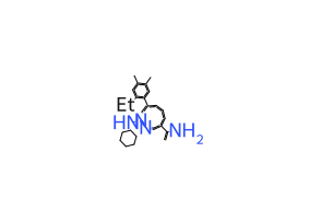 C=C(N)c1cccc(-c2cc(C)c(C)cc2CC)cn(NC2CCCCC2)nc1